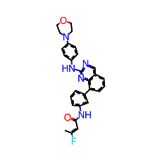 C/C(F)=C\C(=O)Nc1cccc(-c2cccc3cnc(Nc4ccc(N5CCOCC5)cc4)nc23)c1